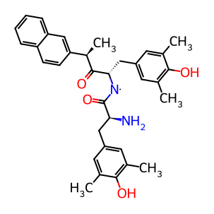 Cc1cc(C[C@H]([N]C(=O)[C@@H](N)Cc2cc(C)c(O)c(C)c2)C(=O)[C@H](C)c2ccc3ccccc3c2)cc(C)c1O